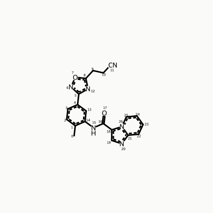 Cc1ccc(-c2noc(CCC#N)n2)cc1NC(=O)c1cnc2ccccn12